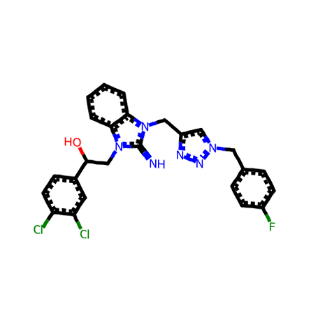 N=c1n(Cc2cn(Cc3ccc(F)cc3)nn2)c2ccccc2n1CC(O)c1ccc(Cl)c(Cl)c1